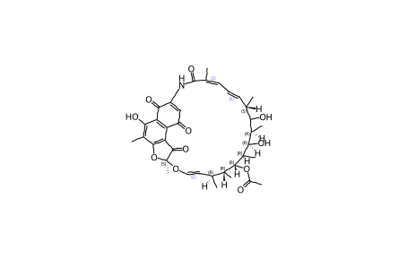 CC(=O)O[C@H]1[C@H](C)[C@H](O)[C@H](C)C(O)[C@@H](C)/C=C/C=C(/C)C(=O)NC2=CC(=O)c3c(c(O)c(C)c4c3C(=O)[C@@](C)(O/C=C/[C@H](C)[C@H]1C)O4)C2=O